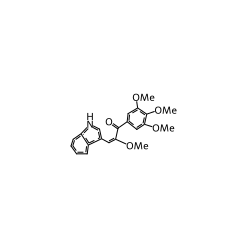 COC(=Cc1c[nH]c2ccccc12)C(=O)c1cc(OC)c(OC)c(OC)c1